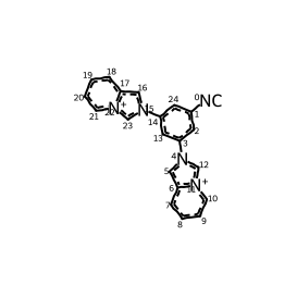 [C-]#[N+]c1cc(-n2cc3cccc[n+]3c2)cc(-n2cc3cccc[n+]3c2)c1